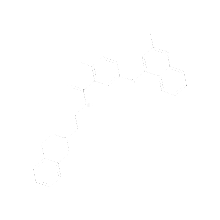 Cc1cc(Nc2ccc(O)c(C(=O)NCCN3CCc4ccccc4C3)c2)c2ccccc2n1